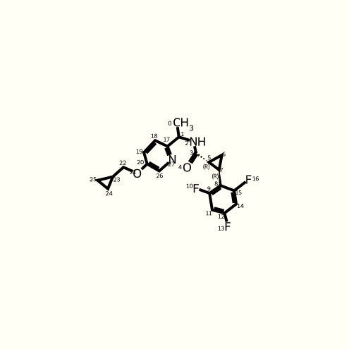 CC(NC(=O)[C@@H]1C[C@H]1c1c(F)cc(F)cc1F)c1ccc(OCC2CC2)cn1